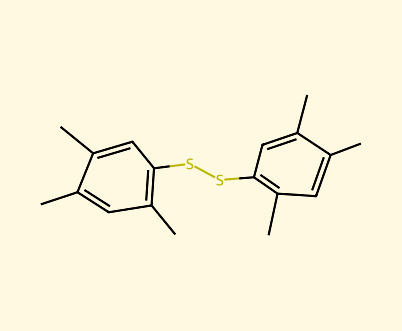 Cc1cc(C)c(SSc2cc(C)c(C)cc2C)cc1C